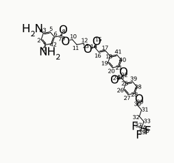 Nc1cc(N)cc(C(=O)OCCCOC(=O)C=Cc2ccc(OC(=O)c3ccc(OCCCCC(F)(F)F)cc3)cc2)c1